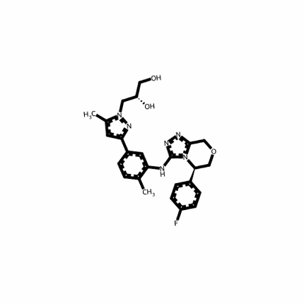 Cc1ccc(-c2cc(C)n(C[C@@H](O)CO)n2)cc1Nc1nnc2n1[C@H](c1ccc(F)cc1)COC2